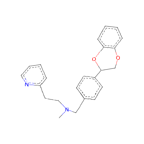 CN(CCc1ccccn1)Cc1ccc(C2COc3ccccc3O2)cc1